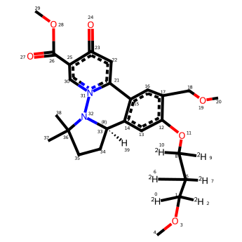 [2H]C([2H])(OC)C([2H])([2H])C([2H])([2H])Oc1cc2c(cc1COC)-c1cc(=O)c(C(=O)OC)cn1N1[C@@H]2CCC1(C)C